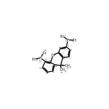 CCP(CC)c1ccc2c(c1)Oc1c(P(CC)CC)cccc1C2(C)C